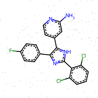 Nc1cc(-c2[nH]c(-c3c(Cl)cccc3Cl)nc2-c2ccc(F)cc2)ccn1